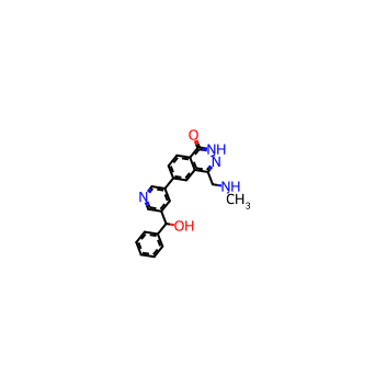 CNCc1n[nH]c(=O)c2ccc(-c3cncc(C(O)c4ccccc4)c3)cc12